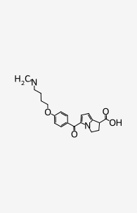 C=NCCCCOc1ccc(C(=O)c2ccc3n2CCC3C(=O)O)cc1